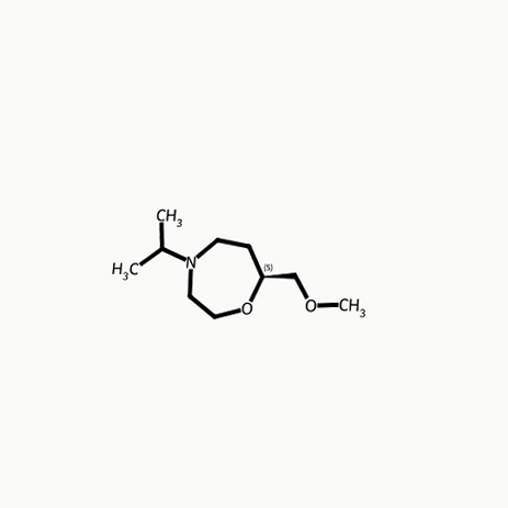 COC[C@@H]1CCN(C(C)C)CCO1